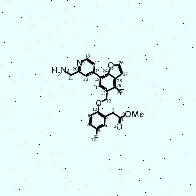 COC(=O)Cc1cc(F)ccc1OCc1cc(-c2ccnc(CN)c2)c2occc2c1F